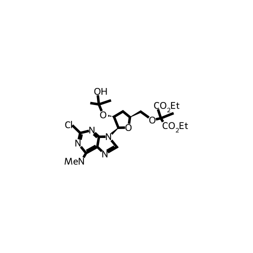 CCOC(=O)C(C)(OC[C@@H]1C[C@@H](OC(C)(C)O)[C@H](n2cnc3c(NC)nc(Cl)nc32)O1)C(=O)OCC